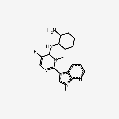 CN1C(c2c[nH]c3ncccc23)=NC=C(F)C1NC1CCCCC1N